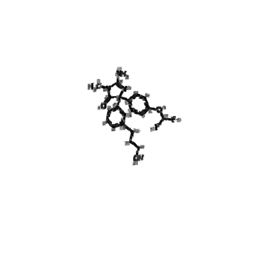 CN1C(=O)C(c2ccc(OC(F)F)cc2)(c2cccc(CCCO)c2)N=C1N